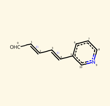 O=C/C=C/C=C/c1cccnc1